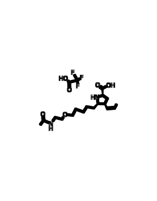 C/C=C\[C@@H]1C[C@H](C(=O)O)N[C@@H]1CCCCCOCCNC(C)=O.O=C(O)C(F)(F)F